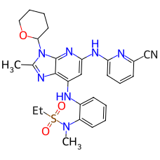 CCS(=O)(=O)N(C)c1ccccc1Nc1cc(Nc2cccc(C#N)n2)nc2c1nc(C)n2C1CCCCO1